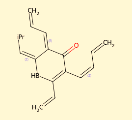 C=C/C=C\C1=C(C=C)BC(=C/C(C)C)/C(=C\C=C)C1=O